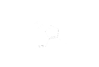 C=CC1=[C]([Rh])CC=C1.[C]=O.[C]=O